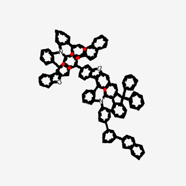 c1ccc(-c2ccccc2N(c2ccc(-c3ccc4c(c3)oc3cccc(-c5ccccc5N(c5ccc(-c6cccc(-c7ccc8ccccc8c7)c6)cc5)c5cccc6c5-c5ccccc5C6(c5ccccc5)c5ccccc5)c34)c(-c3ccc4ccccc4c3)c2)c2ccccc2-c2cccc3oc4ccccc4c23)cc1